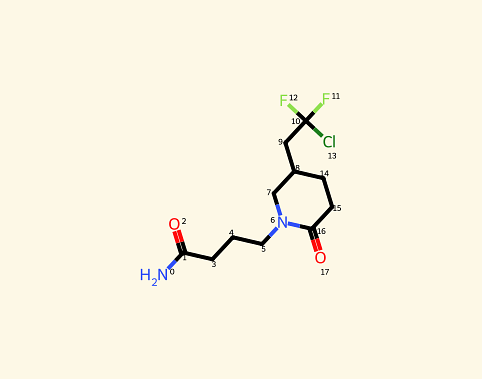 NC(=O)CCCN1CC(CC(F)(F)Cl)CCC1=O